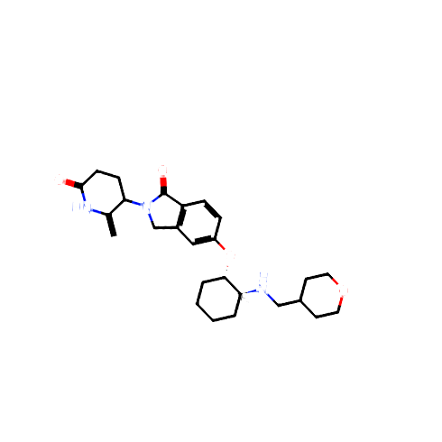 C=C1NC(=O)CCC1N1Cc2cc(O[C@H]3CCCC[C@@H]3NCC3CCOCC3)ccc2C1=O